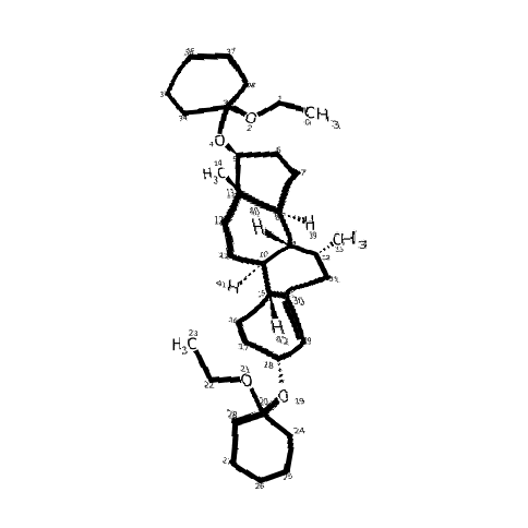 CCOC1(O[C@H]2CC[C@H]3[C@H]4[C@H](CC[C@]23C)[C@H]2CC[C@@H](OC3(OCC)CCCCC3)C=C2C[C@H]4C)CCCCC1